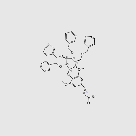 COc1cc(/C=C/C(=O)Br)cc(OC)c1O[C@@H]1O[C@H](COCc2ccccc2)[C@@H](OCc2ccccc2)[C@H](OCc2ccccc2)[C@H]1OCc1ccccc1